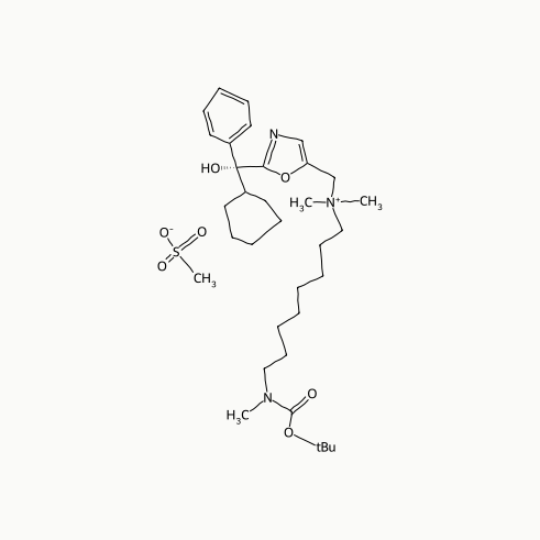 CN(CCCCCCCC[N+](C)(C)Cc1cnc([C@](O)(c2ccccc2)C2CCCCC2)o1)C(=O)OC(C)(C)C.CS(=O)(=O)[O-]